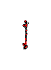 O=C(OCC(CCCCCCCCCCCCSCCCCCCCCCCCCC(COC(=O)c1ccccc1)C1CCCCO1)C1CCCCO1)c1ccccc1